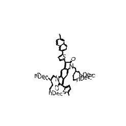 CCCCCCCCCCCCC(CCCCCCCCCC)CN1C(=O)C(c2ccc(C)s2)=c2cc3c(cc21)=C(c1ccc(-c2ccc4cc(C)ccc4c2)s1)C(=O)N3CC(CCCCCCCCCCC)CCCCCCCCCCCC